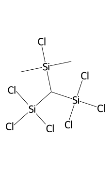 C[Si](C)(Cl)C([Si](Cl)(Cl)Cl)[Si](Cl)(Cl)Cl